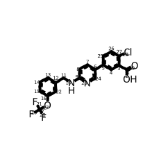 O=C(O)c1cc(-c2ccc(NCc3cccc(OC(F)(F)F)c3)nc2)ccc1Cl